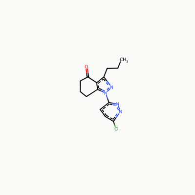 CCCc1nn(-c2ccc(Cl)nn2)c2c1C(=O)CCC2